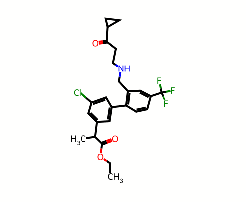 CCOC(=O)C(C)c1cc(Cl)cc(-c2ccc(C(F)(F)F)cc2CNCCC(=O)C2CC2)c1